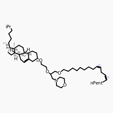 CCCCC/C=C\C/C=C\CCCCCCCCOCC(CN1CCOCC1)OCCO[C@H]1CC[C@@]2(C)C(=CC[C@H]3[C@@H]4CC[C@H]([C@H](C)CCCC(C)C)[C@@]4(C)CC[C@@H]32)C1